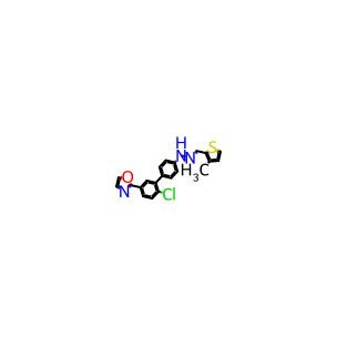 Cc1ccsc1C=NNc1ccc(-c2cc(-c3ncco3)ccc2Cl)cc1